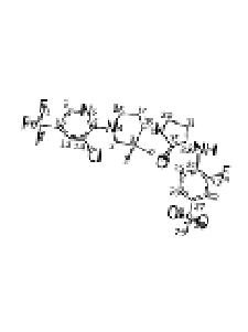 CC1(C)CN(c2ncc(C(F)(F)F)cc2Cl)CCC1N1CC[C@H](Nc2ccc(S(C)(=O)=O)cc2F)C1=O